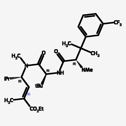 CCOC(=O)/C(C)=C/[C@H](C(C)C)N(C)C(=O)[C@@H](NC(=O)[C@@H](NC)C(C)(C)c1cccc(C(F)(F)F)c1)C(C)(C)C